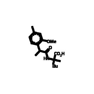 CCC(C)C(C)(NC(=O)C(C)c1ccc(C)cc1OC)C(=O)O